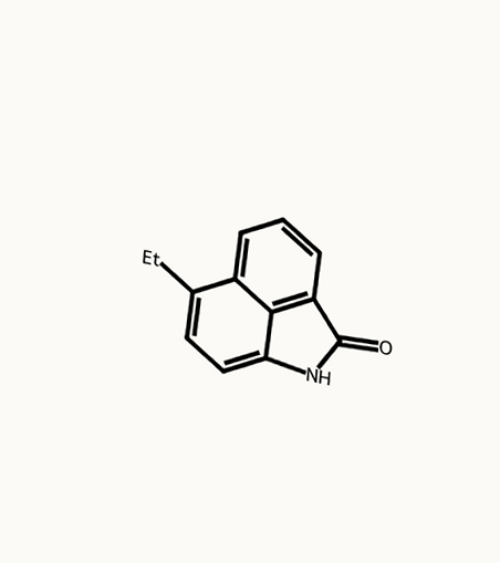 CCc1ccc2c3c(cccc13)C(=O)N2